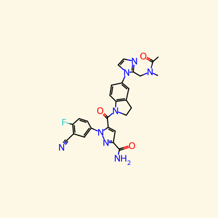 CC(=O)N(C)Cc1nccn1-c1ccc2c(c1)CCN2C(=O)c1cc(C(N)=O)nn1-c1ccc(F)c(C#N)c1